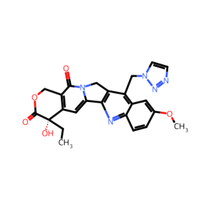 CC[C@@]1(O)C(=O)OCc2c1cc1n(c2=O)Cc2c-1nc1ccc(OC)cc1c2Cn1ccnn1